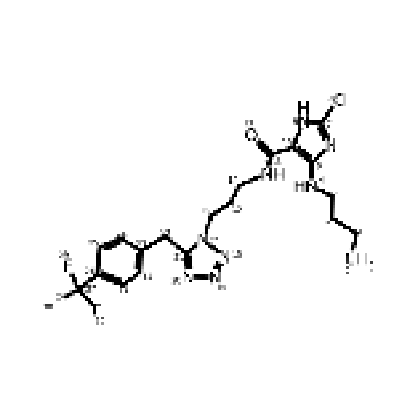 CCCCNc1nc(Cl)[nH]c1C(=O)NCCCn1nnnc1Cc1ccc(C(F)(F)F)cc1